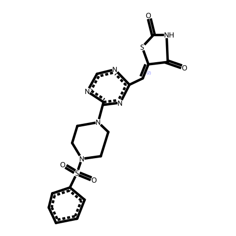 O=C1NC(=O)/C(=C/c2ncnc(N3CCN(S(=O)(=O)c4ccccc4)CC3)n2)S1